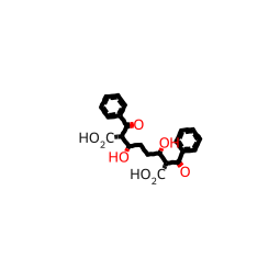 O=C(O)C(C(=O)c1ccccc1)C(O)CCC(O)C(C(=O)O)C(=O)c1ccccc1